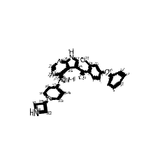 O=C(c1ccc(Oc2ccccc2)cc1Cl)c1c[nH]c2ncnc(NC3CCN(C4CNC4)CC3)c12